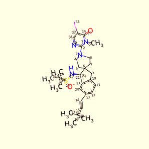 Cn1c(N2CCC3(CC2)Cc2ccc(C#C[Si](C)(C)C)cc2[C@H]3N[S@+]([O-])C(C)(C)C)ncc(I)c1=O